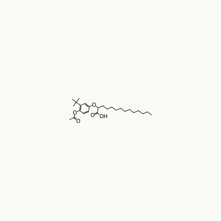 CCCCCCCCCCCCC(Oc1ccc(OC(C)=O)c(C(C)(C)C)c1)C(=O)O